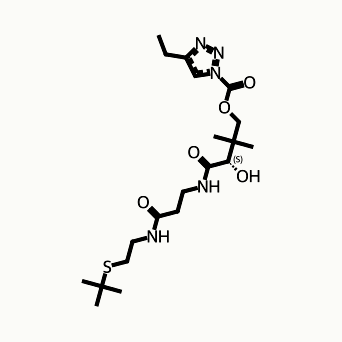 CCc1cn(C(=O)OCC(C)(C)[C@H](O)C(=O)NCCC(=O)NCCSC(C)(C)C)nn1